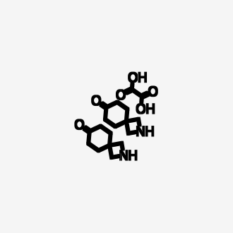 O=C(O)C(=O)O.O=C1CCC2(CC1)CNC2.O=C1CCC2(CC1)CNC2